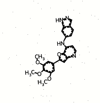 COc1cc(-c2cc3nccc(Nc4ccc5cn[nH]c5c4)c3o2)cc(OC)c1OC